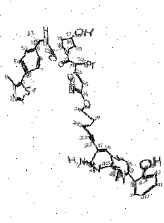 Cc1ncsc1-c1ccc([C@H](C)NC(=O)[C@@H]2C[C@@H](O)CN2C(=O)C(c2cc(OCCCC#Cc3cn4cc(-c5ccccc5O)nc4nc3N)no2)C(C)C)cc1